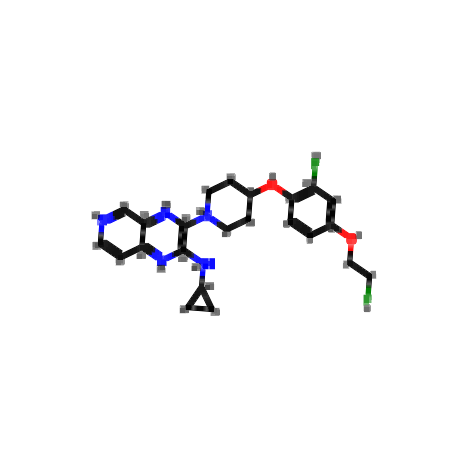 FCCOc1ccc(OC2CCN(c3nc4cnccc4nc3NC3CC3)CC2)c(F)c1